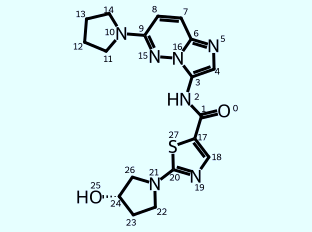 O=C(Nc1cnc2ccc(N3CCCC3)nn12)c1cnc(N2CC[C@H](O)C2)s1